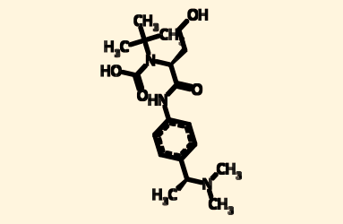 C[C@@H](c1ccc(NC(=O)[C@H](CCO)N(C(=O)O)C(C)(C)C)cc1)N(C)C